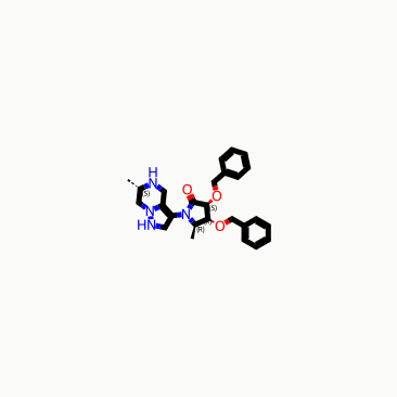 C[C@@H]1[C@@H](OCc2ccccc2)[C@H](OCc2ccccc2)C(=O)N1C1=C2CN[C@@H](C)CN2NC1